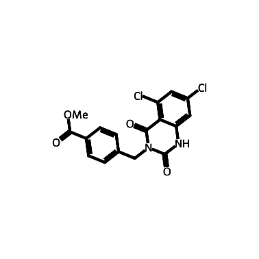 COC(=O)c1ccc(Cn2c(=O)[nH]c3cc(Cl)cc(Cl)c3c2=O)cc1